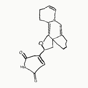 O=C1C=C(C2CC34CCCCC3=CN3C=CCCC3=C4O2)C(=O)N1